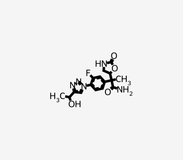 CC(O)c1cn(-c2ccc(C(C)(C(N)=O)C3CNC(=O)O3)cc2F)nn1